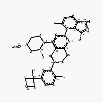 CO[C@@H]1CCN(c2nc(-c3c(C)ccc4[nH]nc(C)c34)nc3c2CN(c2cc(C4(C)COC4)ccc2C)CC3)[C@H](C)C1